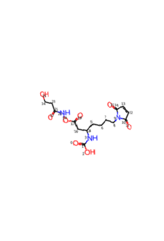 O=C(O)NC(CCCCN1C(=O)C=CC1=O)CC(=O)ONC(=O)CCO